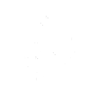 Cc1c(-c2ccnnc2)c(C(=O)N(C)CC(C)(C)C)n(Cc2ccccc2)c1C(F)(F)F